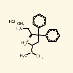 CCC(=O)C(CC(C)N(C)C)(c1ccccc1)c1ccccc1.Cl.O